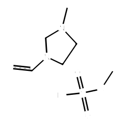 C=CN1CCN(C)C1.COS(=O)(=O)O